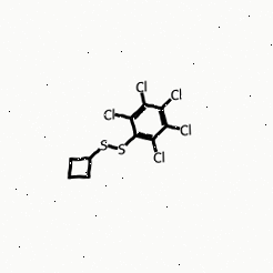 Clc1c(Cl)c(Cl)c(SSC2CCC2)c(Cl)c1Cl